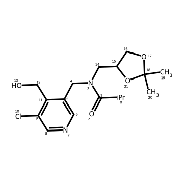 CC(C)C(=O)N(Cc1cncc(Cl)c1CO)CC1COC(C)(C)O1